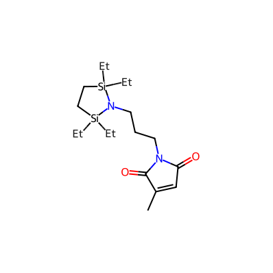 CC[Si]1(CC)CC[Si](CC)(CC)N1CCCN1C(=O)C=C(C)C1=O